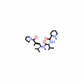 C/C(=C\[C@H](C(C)C)N(C)C(=O)[C@@H](NC(=O)C1CCCCN1C)C(C)C)C(=O)N1CCCC1